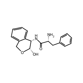 N[C@H](Cc1ccccc1)C(=O)N[C@H]1c2ccccc2CO[C@H]1O